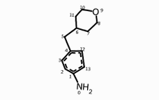 Nc1ccc(CC2CCOCC2)cc1